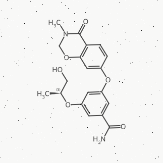 C[C@@H](CO)Oc1cc(Oc2ccc3c(c2)OCN(C)C3=O)cc(C(N)=O)c1